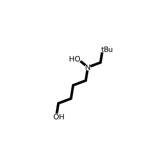 CC(C)(C)CN(O)CCCCO